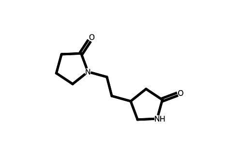 O=C1CC(CCN2CCCC2=O)CN1